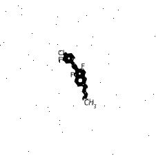 CCCCCC1CCc2c(cc(F)c(C#Cc3ccc(Cl)c(F)c3)c2F)C1